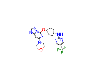 FC(F)(F)c1cnc(N[C@H]2CC[C@@H](Oc3nc(N4CCOCC4)cc4ncnn34)CC2)nc1